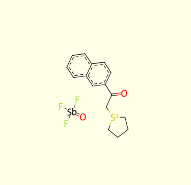 O=C(C[S+]1CCCC1)c1ccc2ccccc2c1.[O]=[Sb]([F])([F])[F]